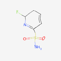 NS(=O)(=O)C1=NC(F)CC=C1